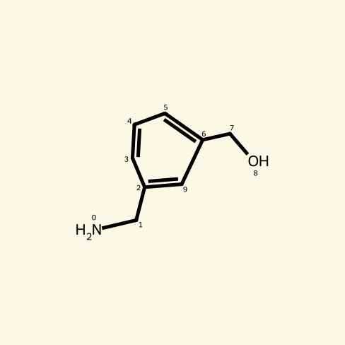 NCc1cccc(CO)c1